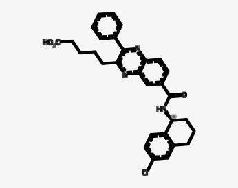 O=C(O)CCCCc1nc2cc(C(=O)N[C@H]3CCCc4cc(Cl)ccc43)ccc2nc1-c1ccccc1